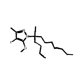 CCCCCCCC(C)(CCCC)n1nc(C)c(F)c1OC